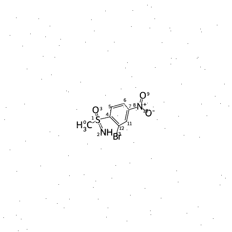 CS(=N)(=O)c1ccc([N+](=O)[O-])cc1Br